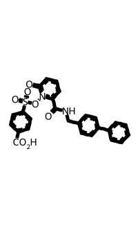 O=C(O)c1ccc(S(=O)(=O)On2c(C(=O)NCc3ccc(-c4ccccc4)cc3)cccc2=O)cc1